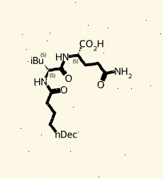 CCCCCCCCCCCCCC(=O)N[C@H](C(=O)N[C@@H](CCC(N)=O)C(=O)O)[C@@H](C)CC